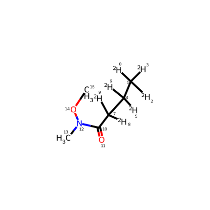 [2H]C([2H])([2H])C([2H])([2H])C([2H])([2H])C(=O)N(C)OC